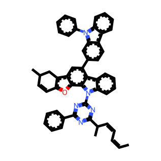 C/C=C\C=C/C(C)c1nc(-c2ccccc2)nc(-n2c3ccccc3c3c(-c4ccc5c6ccccc6n(-c6ccccc6)c5c4)cc4c5c(oc4c32)C=CC(C)C5)n1